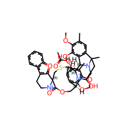 COc1c(C)cc2c(c1O)[C@@H]1[C@@H]3[C@@H]4SC[C@]5(NCCc6c5oc5ccccc65)C(=O)OC[C@@H](c5c6c(c(C)c(OC(C)=O)c54)OCO6)N3C3(O)CN1C2(C)C3